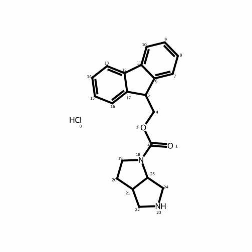 Cl.O=C(OCC1c2ccccc2-c2ccccc21)N1CCC2CNCC21